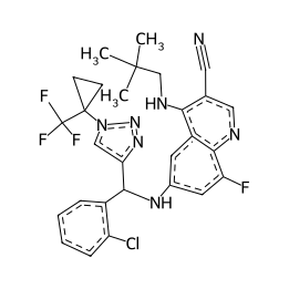 CC(C)(C)CNc1c(C#N)cnc2c(F)cc(NC(c3cn(C4(C(F)(F)F)CC4)nn3)c3ccccc3Cl)cc12